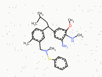 CNc1c(N)cc(C(CC(C)C)c2ccc(C)c(CN(C)Sc3ccccc3)c2)cc1OC